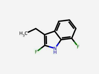 CCc1c(F)[nH]c2c(F)cccc12